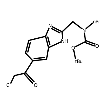 CCCN(Cc1nc2ccc(C(=O)CCl)cc2[nH]1)C(=O)OC(C)(C)C